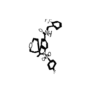 CC1N(S(=O)(=O)c2ccc(F)cc2)c2ccc(C(=O)NCc3ccccc3C(F)(F)F)cc2C12CCOCC2